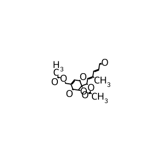 CC(=O)OCC1=CC(=O)C2(C(/C=C(C)/C=C/C=O)OC(C)=O)OC2C1=O